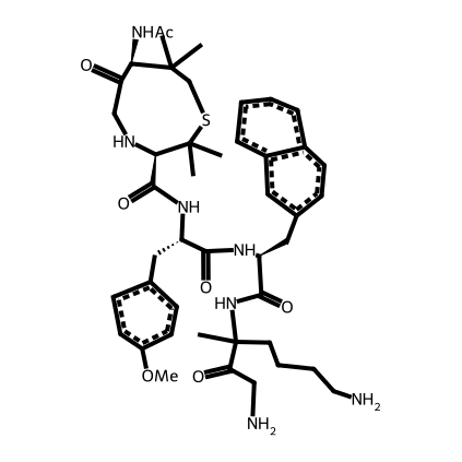 COc1ccc(C[C@H](NC(=O)[C@H]2NCC(=O)[C@@H](NC(C)=O)C(C)(C)CSC2(C)C)C(=O)N[C@@H](Cc2ccc3ccccc3c2)C(=O)NC(C)(CCCCN)C(=O)CN)cc1